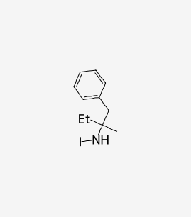 CCC(C)(Cc1ccccc1)NI